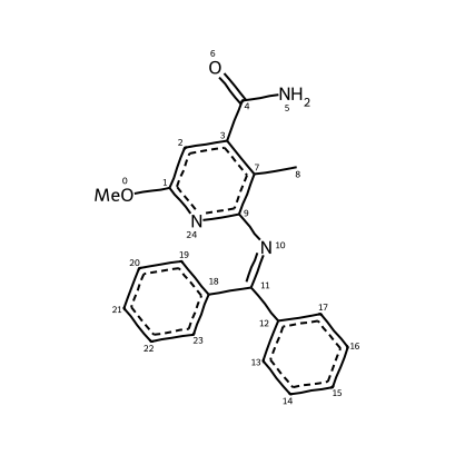 COc1cc(C(N)=O)c(C)c(N=C(c2ccccc2)c2ccccc2)n1